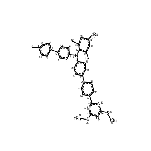 Cc1ccc(-c2ccc(N(c3ccc(-c4ccc(-c5nc(SC(C)(C)C)nc(SC(C)(C)C)n5)cc4)cc3)c3c(C)cc(C(C)(C)C)cc3C)cc2)cc1